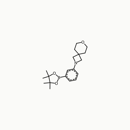 CC1(C)OB(c2cccc(N3CC4(CCOCC4)C3)c2)OC1(C)C